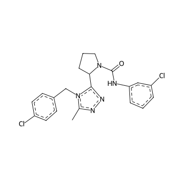 Cc1nnc(C2CCCN2C(=O)Nc2cccc(Cl)c2)n1Cc1ccc(Cl)cc1